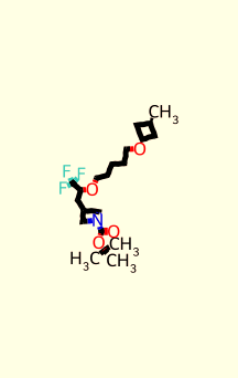 CC(C)(C)OC(=O)N1CC(CC(OCCCCCO[C@H]2C[C@H](C)C2)C(F)(F)F)C1